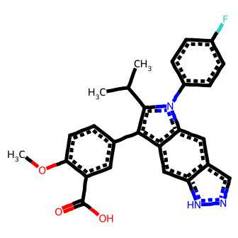 COc1ccc(-c2c(C(C)C)n(-c3ccc(F)cc3)c3cc4cn[nH]c4cc23)cc1C(=O)O